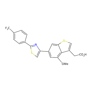 COc1cc(-c2csc(-c3ccc(C(F)(F)F)cc3)n2)cc2scc(CC(=O)O)c12